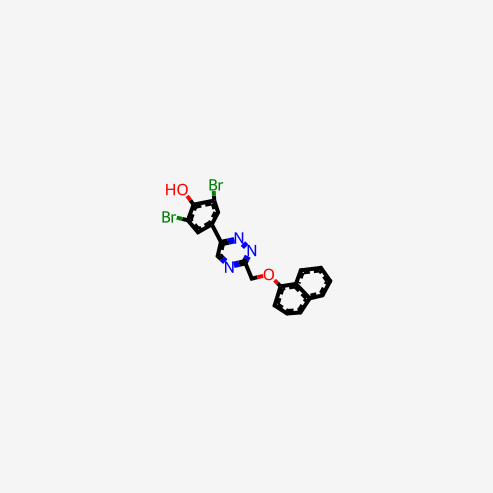 Oc1c(Br)cc(-c2cnc(COc3cccc4ccccc34)nn2)cc1Br